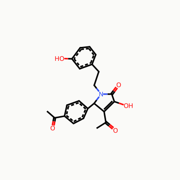 CC(=O)C1=C(O)C(=O)N(CCc2cccc(O)c2)C1c1ccc(C(C)=O)cc1